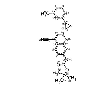 Cc1ccnc([C@H]2C[C@@H]2c2cc(C#N)c3ccc(NC(=O)OC(C)(C)C)cc3n2)n1